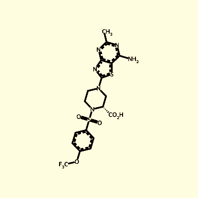 Cc1nc(N)c2sc(N3CCN(S(=O)(=O)c4ccc(OC(F)(F)F)cc4)[C@@H](C(=O)O)C3)nc2n1